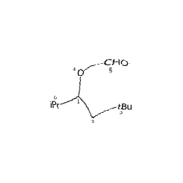 CC(C)C(CC(C)(C)C)O[C]=O